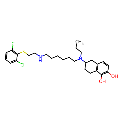 CCCN(CCCCCCNCCSc1c(Cl)cccc1Cl)C1CCc2c(ccc(O)c2O)C1